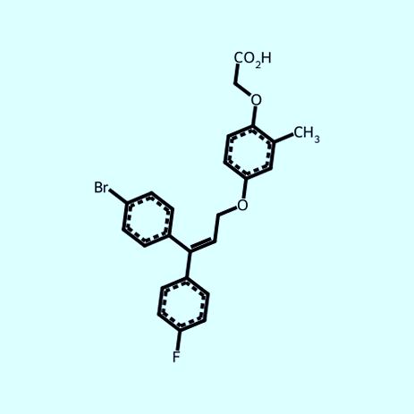 Cc1cc(OC/C=C(/c2ccc(F)cc2)c2ccc(Br)cc2)ccc1OCC(=O)O